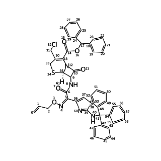 C=CCO/N=C(\C(=O)NC1C(=O)N2C(C(=O)OC(c3ccccc3)c3ccccc3)=C(CCl)CS[C@H]12)c1csc(NC(c2ccccc2)(c2ccccc2)c2ccccc2)n1